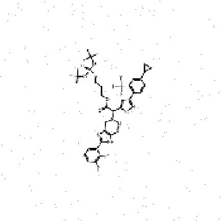 CC(C)(C)OP(=O)(OCCCOC(=O)C(c1cc(-c2ccc(C3CC3)cc2C(F)(F)F)no1)N1Cc2nc(-c3cccc(F)c3F)[nH]c2C=N1)OC(C)(C)C